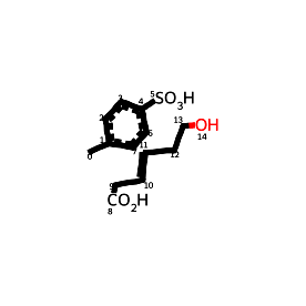 Cc1ccc(S(=O)(=O)O)cc1.O=C(O)CC=CCCO